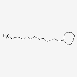 CCCCCCCCCCCCC1CCCCCCC1